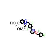 COCCn1c(Cc2cc(F)c(-c3cccc(OCc4ccc(F)cc4F)n3)cc2F)nc2ccc(C(=O)O)cc21